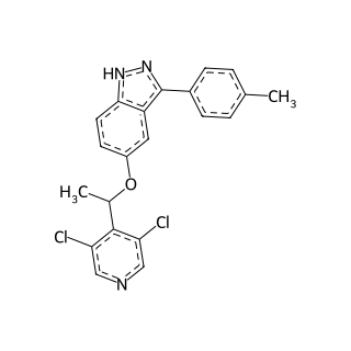 Cc1ccc(-c2n[nH]c3ccc(OC(C)c4c(Cl)cncc4Cl)cc23)cc1